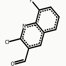 O=Cc1cc2cccc(F)c2nc1Cl